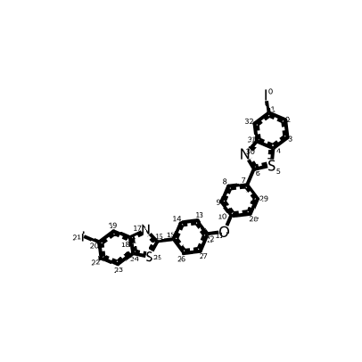 Ic1ccc2sc(-c3ccc(Oc4ccc(-c5nc6cc(I)ccc6s5)cc4)cc3)nc2c1